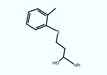 CCCC(O)CCSc1ccccc1C